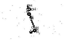 Nc1ccc(-c2cccs2)cc1NC(=O)CCCCCCn1cc(-c2ccc(O[C@@H]3C[C@@H](O)CC(CO)O3)cc2)nn1